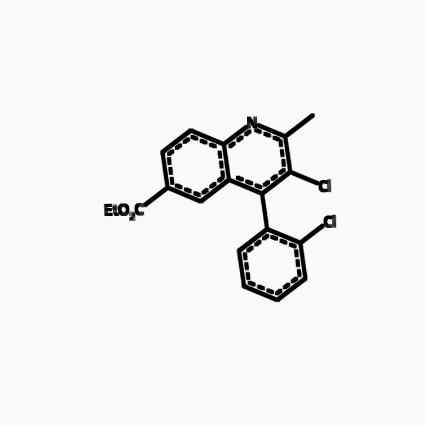 CCOC(=O)c1ccc2nc(C)c(Cl)c(-c3ccccc3Cl)c2c1